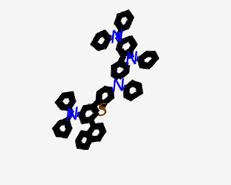 c1ccc(N(c2ccccc2)c2cc(-c3cccc4ccccc34)c3sc4cc(N(c5ccccc5)c5ccc6c7cc(N(c8ccccc8)c8ccccc8)ccc7n(-c7ccccc7)c6c5)ccc4c3c2)cc1